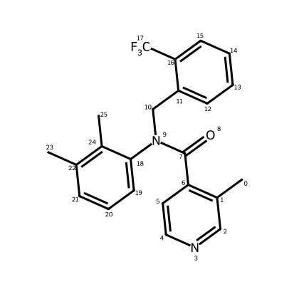 Cc1cnccc1C(=O)N(Cc1ccccc1C(F)(F)F)c1cccc(C)c1C